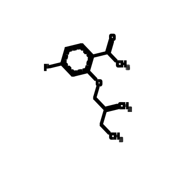 C=C(CC)COc1cc(F)ccc1C(C)=O